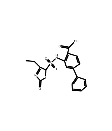 CCC1=NC(=O)SC1S(=O)(=O)Nc1cc(-c2ccccc2)ccc1C(=O)O